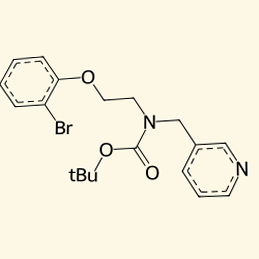 CC(C)(C)OC(=O)N(CCOc1ccccc1Br)Cc1cccnc1